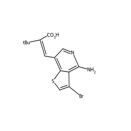 CC(C)(C)C(=Cc1cnc(N)c2c(Br)csc12)C(=O)O